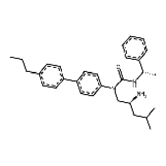 CCCc1ccc(-c2ccc(N(C[C@@H](N)CC(C)C)C(=O)N[C@@H](C)c3ccccc3)cc2)cc1